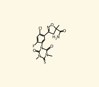 Cn1c(=S)n(C)c(=O)n(-c2cc(C3=NOC(C)(C(N)=O)C3)c(Cl)cc2F)c1=O